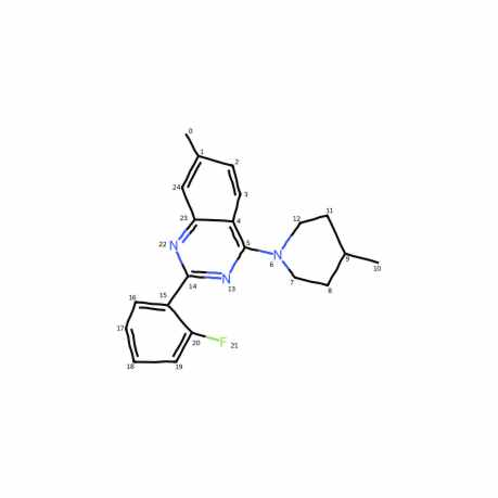 Cc1ccc2c(N3CCC(C)CC3)nc(-c3ccccc3F)nc2c1